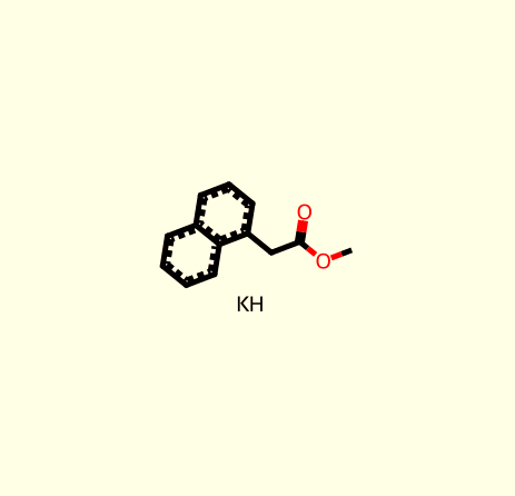 COC(=O)Cc1cccc2ccccc12.[KH]